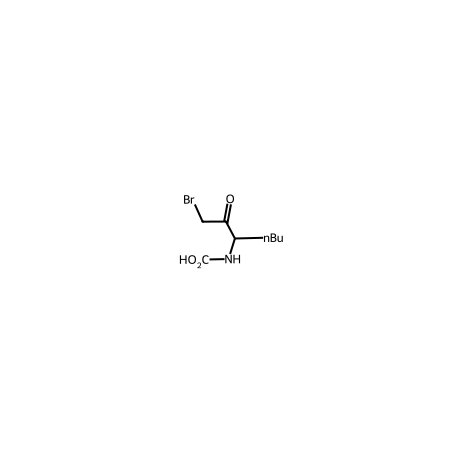 CCCCC(NC(=O)O)C(=O)CBr